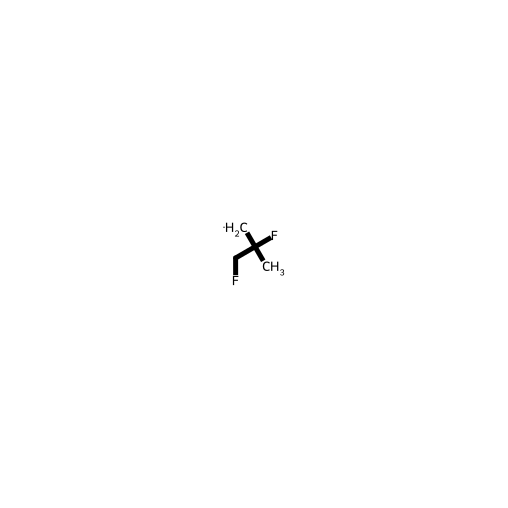 [CH2]C(C)(F)CF